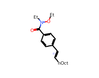 CCCCCCCC/C=C/c1ccc(C(=O)N(CC)OCC)cc1